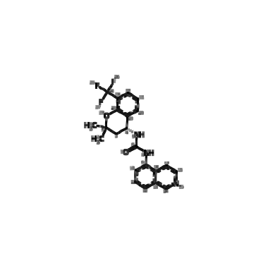 CC1(C)C[C@@H](NC(=O)Nc2cccc3cnccc23)c2cccc(C(F)(F)F)c2O1